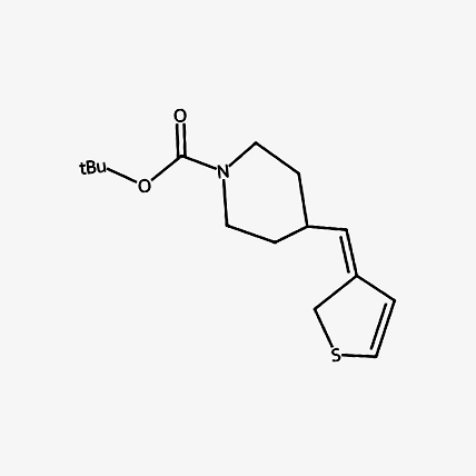 CC(C)(C)OC(=O)N1CCC(C=C2C=CSC2)CC1